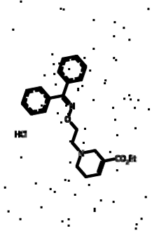 CCOC(=O)C1=CCCN(CCON=C(c2ccccc2)c2ccccc2)C1.Cl